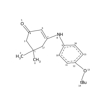 CC1(C)CC(=O)C=C(Nc2ccc(OC(C)(C)C)cc2)C1